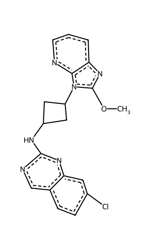 COc1nc2cccnc2n1C1CC(Nc2ncc3ccc(Cl)cc3n2)C1